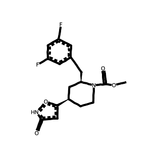 COC(=O)N1CC[C@@H](c2cc(=O)[nH]o2)C[C@H]1Cc1cc(F)cc(F)c1